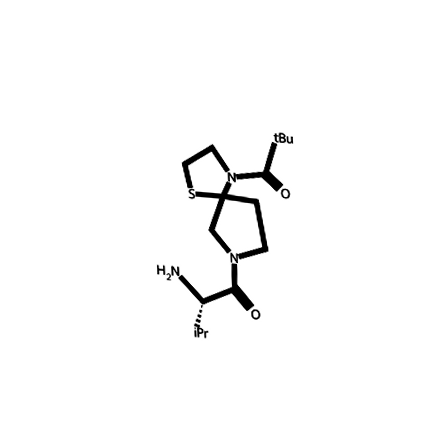 CC(C)[C@H](N)C(=O)N1CCC2(C1)SCCN2C(=O)C(C)(C)C